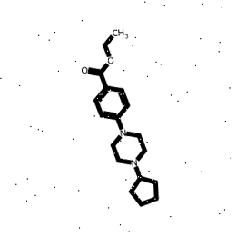 CCOC(=O)c1ccc(N2CCN(C3CCCC3)CC2)cc1